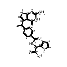 CC(c1ccc(C(=O)NC(C(=O)O)c2cccs2)cc1)c1c[nH]c2nc(N)[nH]c(=O)c12